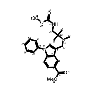 COC(=O)c1ccc2c(c1)c(CN(C)C(C)(C)CNC(=O)OC(C)(C)C)cn2-c1ccccc1